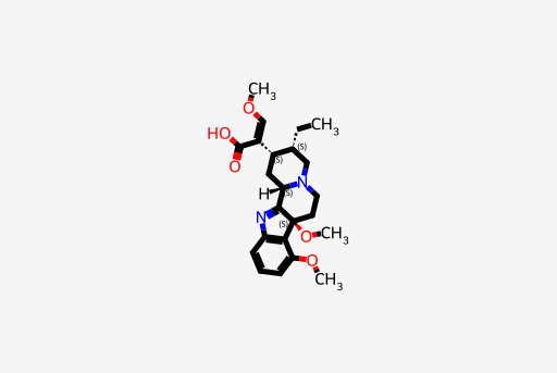 CC[C@@H]1CN2CC[C@@]3(OC)C(=Nc4cccc(OC)c43)[C@@H]2C[C@@H]1C(=COC)C(=O)O